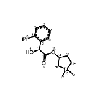 CC(C)c1ccccc1C(O)C(=O)OC1CC[N+](C)(C)C1